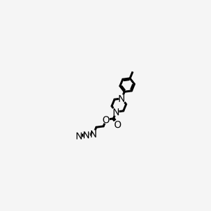 Cc1ccc(N2CCN(C(=O)OCCN=[N+]=[N-])CC2)cc1